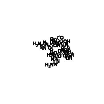 COC1C(OP(=O)(S)OC[C@H]2O[C@@H](n3cnc4c(N)ncnc43)C(OP(=O)(O)OC[C@]34CCCOC3C(O)[C@H](n3cnc5c(N)ncnc53)O4)C2O)[C@H](n2cnc3c(N)ncnc32)O[C@@H]1COP(=O)(O)S